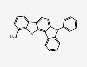 Bc1cccc2c1sc1c2ccc2c1c1ccccc1n2-c1ccccc1